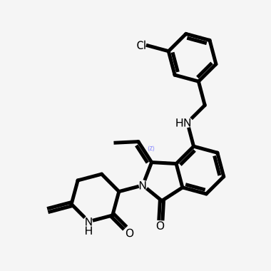 C=C1CCC(N2C(=O)c3cccc(NCc4cccc(Cl)c4)c3/C2=C/C)C(=O)N1